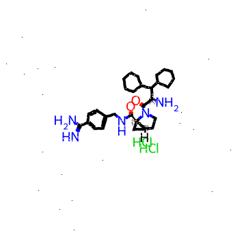 Cl.Cl.N=C(N)c1ccc(CNC(=O)[C@]23C[C@H]2CCN3C(=O)[C@H](N)C(C2CCCCC2)C2CCCCC2)cc1